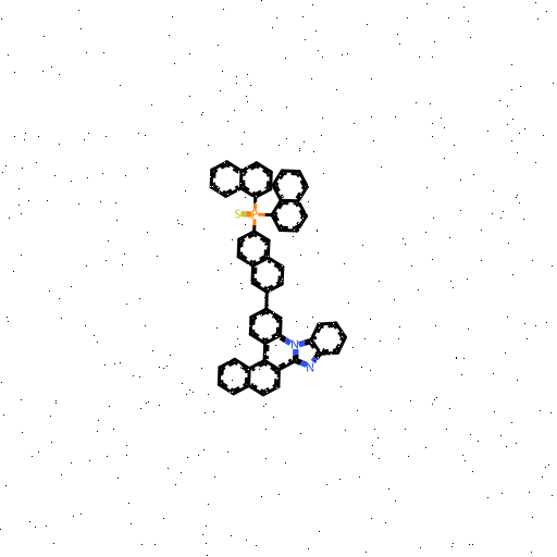 S=P(c1ccc2cc(-c3ccc4c5c6ccccc6ccc5c5nc6ccccc6n5c4c3)ccc2c1)(c1cccc2ccccc12)c1cccc2ccccc12